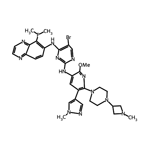 COc1nc(N2CCN(C3CN(C)C3)CC2)c(-c2cnn(C)c2)cc1Nc1ncc(Br)c(Nc2ccc3nccnc3c2P(C)C)n1